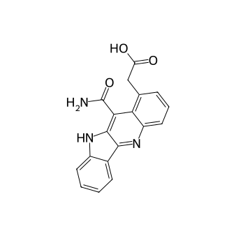 NC(=O)c1c2[nH]c3ccccc3c2nc2cccc(CC(=O)O)c12